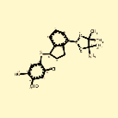 CC1(C)OB(c2cccc3c2CCC3Oc2cc(O)c(C=O)cc2Cl)OC1(C)C